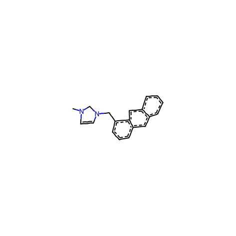 CN1C=CN(Cc2cccc3cc4ccccc4cc23)C1